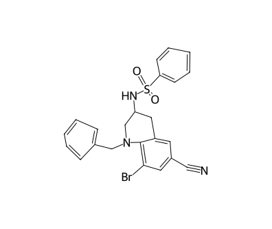 N#Cc1cc(Br)c2c(c1)CC(NS(=O)(=O)c1ccccc1)CN2Cc1ccccc1